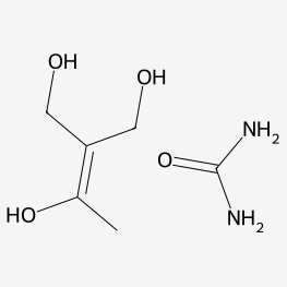 CC(O)=C(CO)CO.NC(N)=O